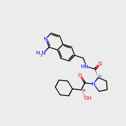 Nc1nccc2cc(CNC(=O)[C@@H]3CCCN3C(=O)[C@H](O)C3CCCCC3)ccc12